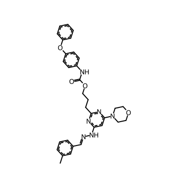 Cc1cccc(/C=N/Nc2cc(N3CCOCC3)nc(CCCOC(=O)Nc3ccc(Oc4ccccc4)cc3)n2)c1